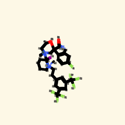 Cc1cc(F)ccc1C1(C(N)=O)C[N+](C)(C2(I)CCCC[N@+]2(C)CCc2cc(C(F)(F)F)cc(C(F)(F)F)c2)CCO1